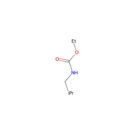 [CH2]COC(=O)NCC(C)C